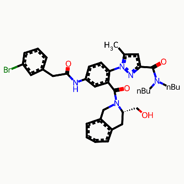 CCCCN(CCCC)C(=O)c1cc(C)n(-c2ccc(NC(=O)Cc3cccc(Br)c3)cc2C(=O)N2Cc3ccccc3C[C@H]2CO)n1